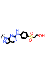 Cn1ncc2cnc(Nc3ccc(S(=O)(=O)CCO)cc3)nc21